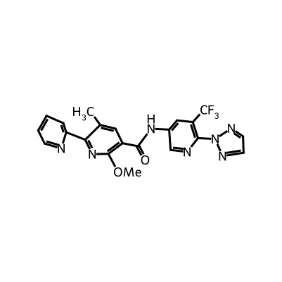 COc1nc(-c2ccccn2)c(C)cc1C(=O)Nc1cnc(-n2nccn2)c(C(F)(F)F)c1